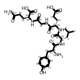 CC(C)C[C@H](NC(=O)[C@@H](N)Cc1ccc(O)cc1)C(=O)N[C@@H](CCC(=O)O)C(=O)NCC(=O)N[C@@H](CCC(N)=O)C(=O)O